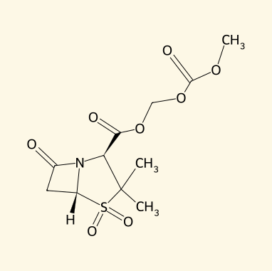 COC(=O)OCOC(=O)[C@@H]1N2C(=O)C[C@H]2S(=O)(=O)C1(C)C